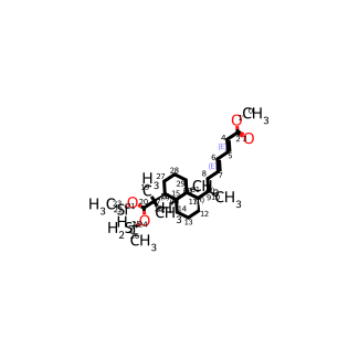 COC(=O)/C=C/C=C/C[C@@H](C)[C@H]1CCC[C@@H]2[C@@H](C(C)(C)C(O[SiH2]C)O[SiH2]C)CCC[C@@]12C